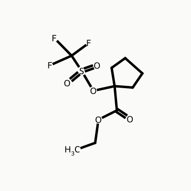 CCOC(=O)C1(OS(=O)(=O)C(F)(F)F)CCCC1